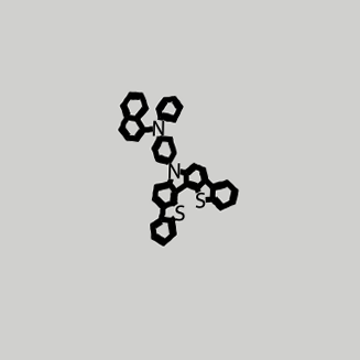 C1=C(N(c2ccccc2)c2cccc3ccccc23)CCC(n2c3ccc4c5ccccc5sc4c3c3c4sc5ccccc5c4ccc32)=C1